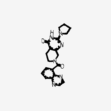 O=C(c1cccc2nccnc12)N1CCc2c(nc(N3CCCC3)[nH]c2=O)C1